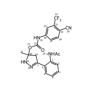 CC(=O)Nc1ccccc1C1=NNC(C)(OC(=O)Nc2ccc(C#N)c(C(F)(F)F)c2)C1